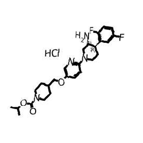 CC(C)OC(=O)N1CCC(COc2ccc(N3CC[C@H](c4cc(F)ccc4F)[C@@H](N)C3)nc2)CC1.Cl